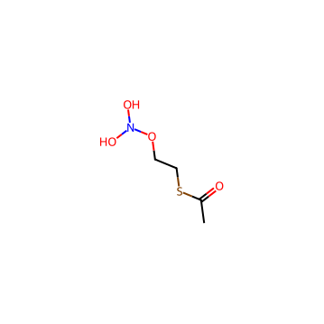 CC(=O)SCCON(O)O